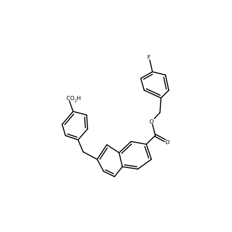 O=C(O)c1ccc(Cc2ccc3ccc(C(=O)OCc4ccc(F)cc4)cc3c2)cc1